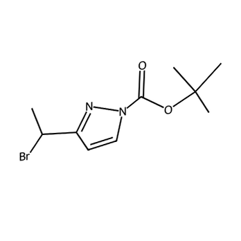 CC(Br)c1ccn(C(=O)OC(C)(C)C)n1